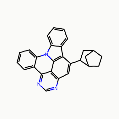 c1ccc2c(c1)c1ncnc3cc(C4CC5CCC4C5)c4c5ccccc5n2c4c31